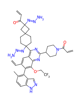 C=CC(=O)N1CCC(c2nc(C3(N=NN)CCC4(CC3)CC(N=NN)(C(=O)C=C)C4)c3cc(C=C)c(-c4c(C)ccc5[nH]ncc45)c(OCC(F)(F)F)c3n2)CC1